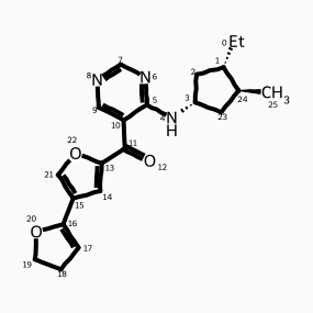 CC[C@H]1C[C@@H](Nc2ncncc2C(=O)c2cc(C3=CCCO3)co2)C[C@@H]1C